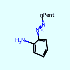 CCCCC/N=N/c1ccccc1N